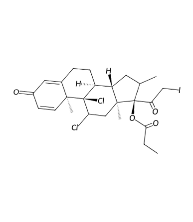 CCC(=O)O[C@]1(C(=O)CI)C(C)C[C@H]2[C@@H]3CCC4=CC(=O)C=C[C@]4(C)[C@@]3(Cl)C(Cl)C[C@@]21C